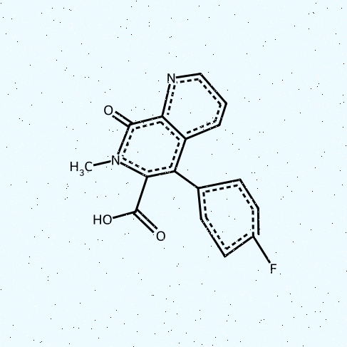 Cn1c(C(=O)O)c(-c2ccc(F)cc2)c2cccnc2c1=O